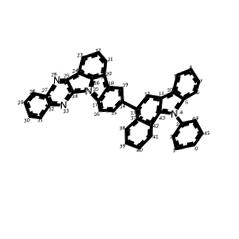 c1ccc(-n2c3ccccc3c3cc(-c4ccc5c(c4)c4cccc6c7nc8ccccc8nc7n5c46)c4ccccc4c32)cc1